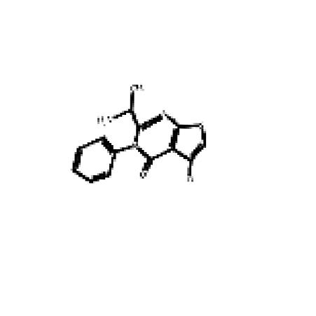 CC(N)c1nc2scc(Cl)c2c(=O)n1-c1ccccc1